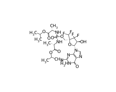 CC(C)OC(=O)[C@H](C)NP(=O)(N[C@@H](C)C(=O)OC(C)C)OC[C@@]1(C(F)F)O[C@@H](n2cnc3c(=O)[nH]c(N)nc32)[C@H](O)C1(F)F